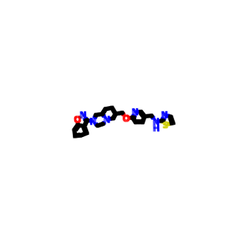 c1ccc2c(N3CCN4CC(COc5ccc(CNc6nccs6)cn5)CCC4C3)noc2c1